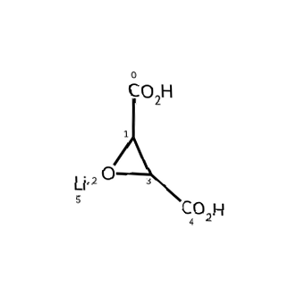 O=C(O)C1OC1C(=O)O.[Li]